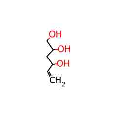 C=CC(O)CC(O)CO